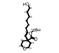 CC(C)(C)OC(=O)C1(CCCCCCCCO)CCOCC1